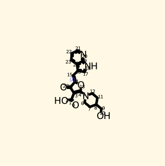 O=C(O)C1=C(N2CCC(CO)CC2)O/C(=C\c2c[nH]c3ncccc23)C1=O